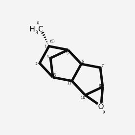 C[C@H]1CC2CC1C1CC3OC3C21